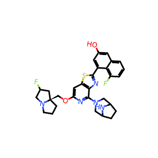 Oc1cc(-c2nc3c(N4CC5CCC(C4)N5)nc(OC[C@@]45CCCN4CC(F)C5)cc3s2)c2c(F)cccc2c1